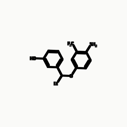 CCC(Oc1ccc(N)c(C(F)(F)F)c1)c1cccc(O)c1